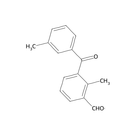 Cc1cccc(C(=O)c2cccc([C]=O)c2C)c1